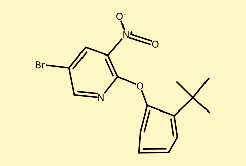 CC(C)(C)c1ccccc1Oc1ncc(Br)cc1[N+](=O)[O-]